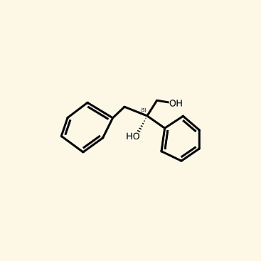 OC[C@](O)(Cc1ccccc1)c1ccccc1